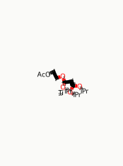 CC(=O)OCCOC(C=C(OC(C)C)OC(C)C)OC(C)C.[Ti]